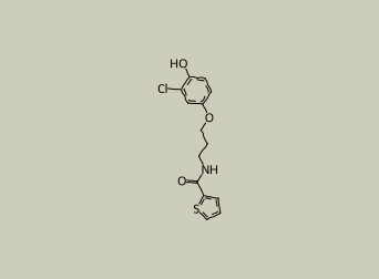 O=C(NCCCOc1ccc(O)c(Cl)c1)c1cccs1